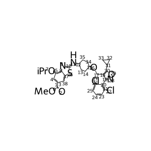 COC(=O)c1cc(OC(C)C)c2nc(NC3CCC(OCc4c(-c5c(Cl)cccc5Cl)noc4C4CC4)CC3)sc2c1